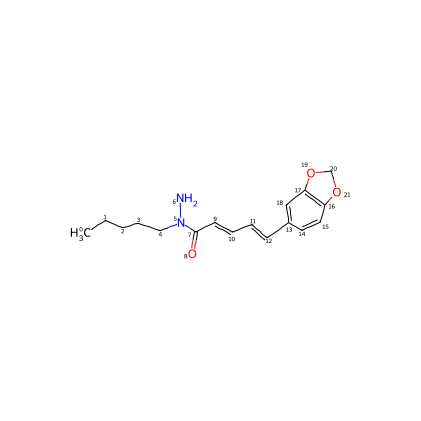 CCCCCN(N)C(=O)C=CC=Cc1ccc2c(c1)OCO2